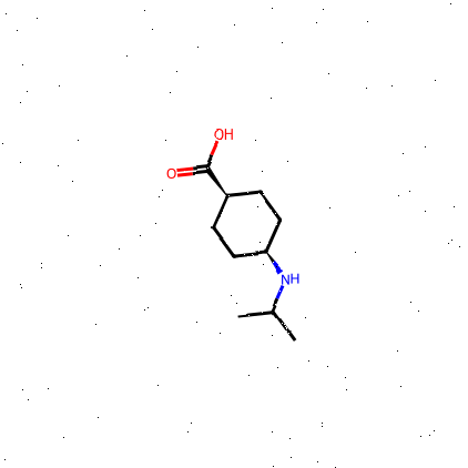 CC(C)N[C@H]1CC[C@@H](C(=O)O)CC1